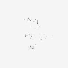 CN1CC(CC2CC2)c2[nH]c(-c3ccnc(N)c3)c(-c3ccc(F)cc3)c2C1=O